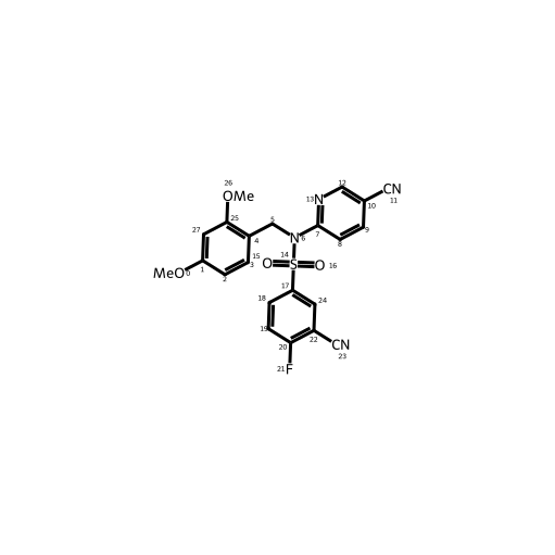 COc1ccc(CN(c2ccc(C#N)cn2)S(=O)(=O)c2ccc(F)c(C#N)c2)c(OC)c1